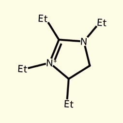 CCC1=[N+](CC)C(CC)CN1CC